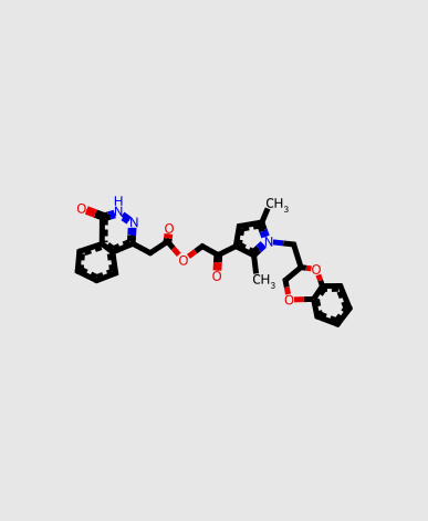 Cc1cc(C(=O)COC(=O)Cc2n[nH]c(=O)c3ccccc23)c(C)n1CC1COc2ccccc2O1